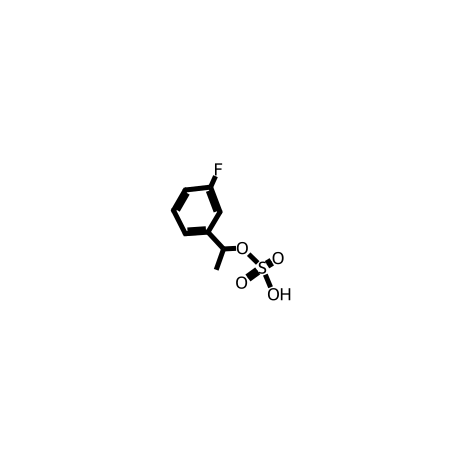 CC(OS(=O)(=O)O)c1cccc(F)c1